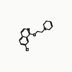 Clc1ccc2ccnc(OCCN3CC=CCC3)c2c1